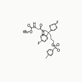 Cc1ccc(S(=O)(=O)OCCCC(CNC(=O)CNC(=O)OC(C)(C)C)(c2ccc(F)cc2)c2ccc(F)cc2)cc1